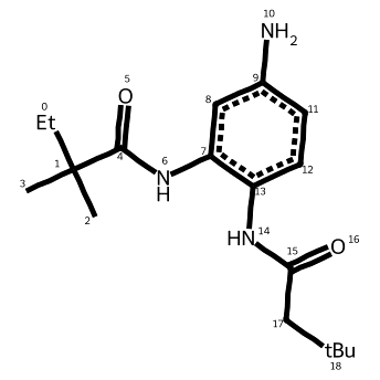 CCC(C)(C)C(=O)Nc1cc(N)ccc1NC(=O)CC(C)(C)C